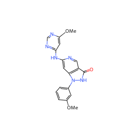 COc1cccc(-n2[nH]c(=O)c3cnc(Nc4cc(OC)ncn4)cc32)c1